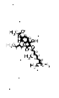 CCCCn1c(=O)c(OC/C=C(\C)CCC=C(C)C)c(O)c2ccc(NC(C)=O)cc21